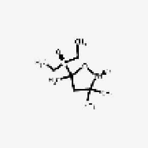 CCP(=O)(CC)C1(C)CC(C)(C)[PH](=O)O1